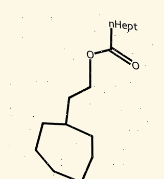 [CH2]CCCCCCC(=O)OCCC1CCCCCC1